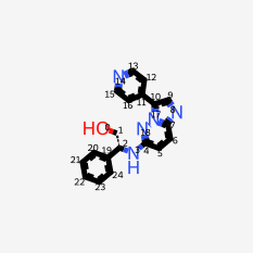 OC[C@H](Nc1ccc2ncc(-c3ccncc3)n2n1)c1ccccc1